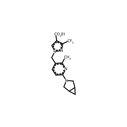 CCOC(=O)c1cn(Cc2ccc(N3CC4CC4C3)nc2C)nc1C(F)(F)F